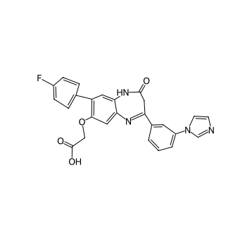 O=C(O)COc1cc2c(cc1-c1ccc(F)cc1)NC(=O)CC(c1cccc(-n3ccnc3)c1)=N2